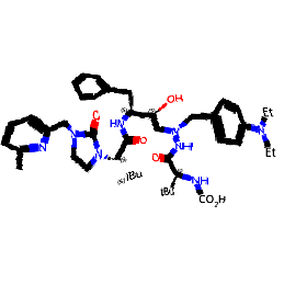 CC[C@H](C)[C@@H](C(=O)N[C@@H](Cc1ccccc1)[C@@H](O)CN(Cc1ccc(N(CC)CC)cc1)NC(=O)[C@@H](NC(=O)O)C(C)(C)C)N1CCN(Cc2cccc(C)n2)C1=O